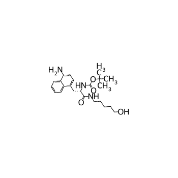 CC(C)(C)OC(=O)N[C@@H](Cc1ccc(N)c2ccccc12)C(=O)NCCCCCO